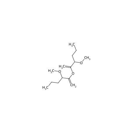 C=C(OC(=C)C(CCC)OC)C(CCC)OC